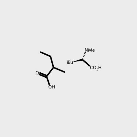 CCC(C)C(=O)O.CC[C@H](C)[C@H](NC)C(=O)O